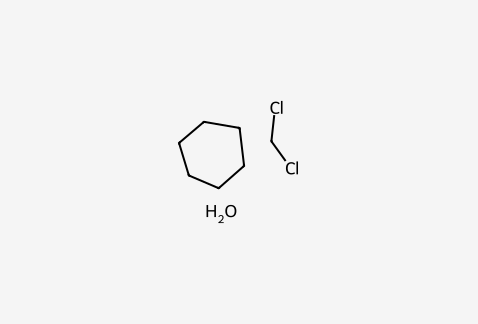 C1CCCCC1.ClCCl.O